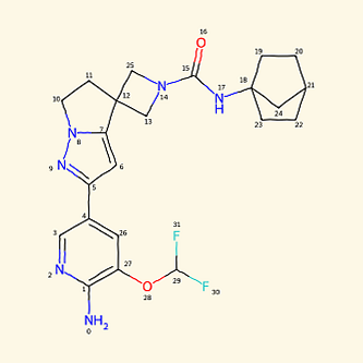 Nc1ncc(-c2cc3n(n2)CCC32CN(C(=O)NC34CCC(CC3)C4)C2)cc1OC(F)F